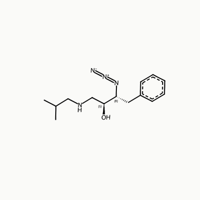 CC(C)CNC[C@H](O)[C@@H](Cc1ccccc1)N=[N+]=[N-]